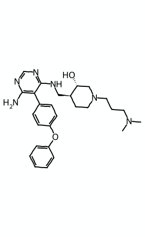 CN(C)CCCN1CC[C@@H](CNc2ncnc(N)c2-c2ccc(Oc3ccccc3)cc2)[C@H](O)C1